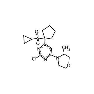 C[C@H]1COCCN1c1cc(C2(S(=O)(=O)C3CC3)CCCC2)nc(Cl)n1